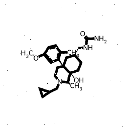 COc1ccc(C)c([C@]23CCN(CC4CC4)[C@H](C)[C@]2(O)CC[C@@H](CNC(N)=O)C3)c1